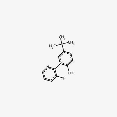 CC(C)(C)c1ccc(O)c(-c2ncccc2F)c1